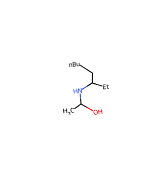 CCCCCC(CC)NC(C)O